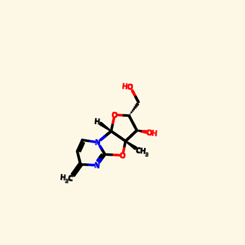 C=C1C=CN2C(=N1)O[C@@]1(C)[C@H](O)[C@@H](CO)O[C@@H]21